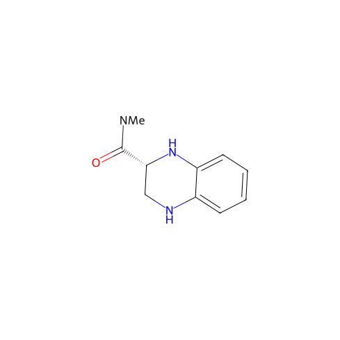 CNC(=O)[C@H]1CNc2ccccc2N1